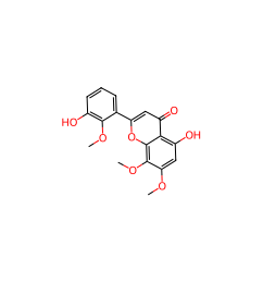 COc1cc(O)c2c(=O)cc(-c3cccc(O)c3OC)oc2c1OC